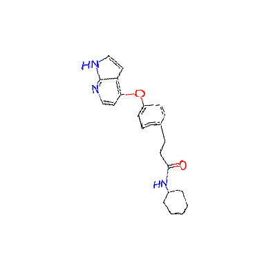 O=C(CCc1ccc(Oc2ccnc3[nH]ccc23)cc1)NC1CCCCC1